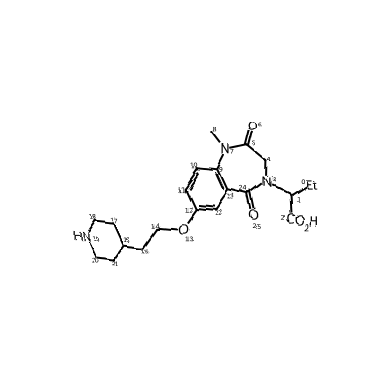 CCC(C(=O)O)N1CC(=O)N(C)c2ccc(OCCC3CCNCC3)cc2C1=O